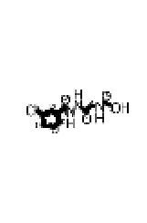 O=C(O)NCC(=O)NNC(=O)c1cccc(Cl)c1